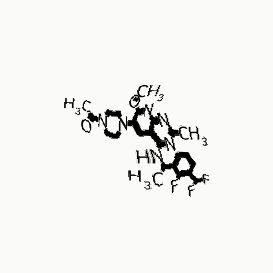 COc1nc2nc(C)nc(NC(C)c3cccc(C(F)F)c3F)c2cc1N1CCN(C(C)=O)CC1